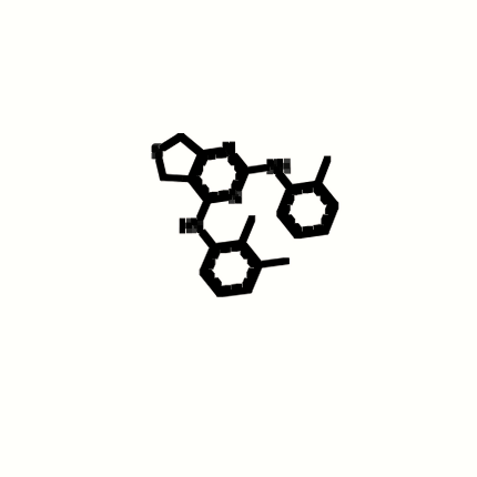 Cc1ccccc1Nc1nc2c(c(Nc3cccc(C)c3C)n1)CSC2